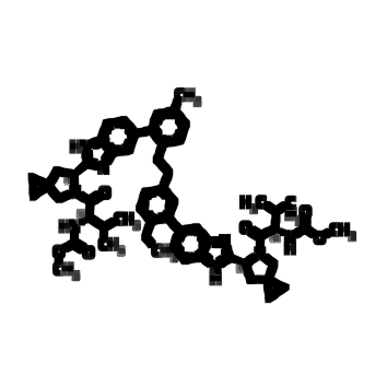 CCc1ccc(CCc2ccc(C)cc2-c2ccc3[nH]c([C@@H]4CC5(CC5)CN4C(=O)[C@@H](NC(=O)OC)C(C)C)nc3c2)cc1-c1ccc2[nH]c([C@@H]3CC4(CC4)CN3C(=O)[C@@H](NC(=O)OC)C(C)C)nc2c1